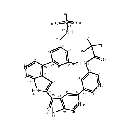 CC(C)(C)C(=O)Nc1cncc(-c2cc3c(-c4cc5c(-c6cc(F)cc(CNS(C)(=O)=O)c6)cncc5[nH]4)n[nH]c3cn2)c1